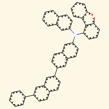 c1ccc(-c2ccc3ccc(-c4ccc5cc(N(c6ccc7ccccc7c6)c6cccc7oc8ccccc8c67)ccc5c4)cc3c2)cc1